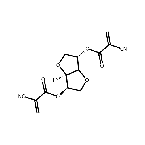 C=C(C#N)C(=O)O[C@H]1CO[C@H]2C1OC[C@H]2OC(=O)C(=C)C#N